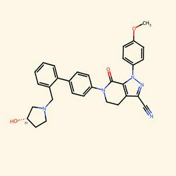 COc1ccc(-n2nc(C#N)c3c2C(=O)N(c2ccc(-c4ccccc4CN4CC[C@H](O)C4)cc2)CC3)cc1